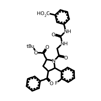 CC(C)(C)OC(=O)C1CC(C(=O)c2ccccc2)C(c2ccccc2F)N1C(=O)CNC(=O)Nc1cccc(C(=O)O)c1